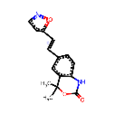 CC1(C)OC(=O)Nc2ccc(/C=C/c3ccno3)cc21